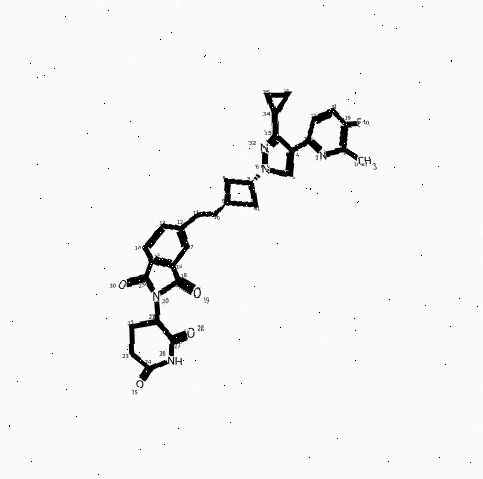 Cc1nc(-c2cn([C@H]3C[C@H](CCc4ccc5c(c4)C(=O)N(C4CCC(=O)NC4=O)C5=O)C3)nc2C2CC2)ccc1F